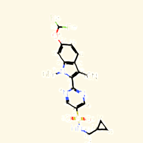 CCCn1c(-c2ncc(S(=O)(=O)N[C@@H](C)C3CC3)cn2)c(C#N)c2ccc(OC(F)F)cc21